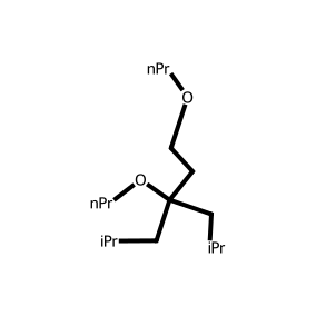 CCCOCCC(CC(C)C)(CC(C)C)OCCC